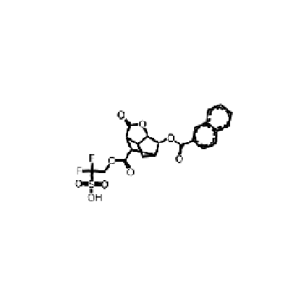 O=C(OC1C2CC3C1OC(=O)C3C2C(=O)OCC(F)(F)S(=O)(=O)O)c1ccc2ccccc2c1